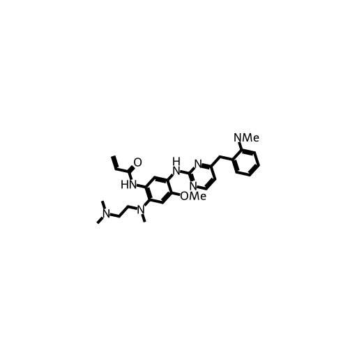 C=CC(=O)Nc1cc(Nc2nccc(Cc3ccccc3NC)n2)c(OC)cc1N(C)CCN(C)C